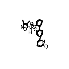 COc1cccc(-c2ccc(-c3ccccc3S(=O)(=O)Nc3onc(C)c3C)cc2)n1